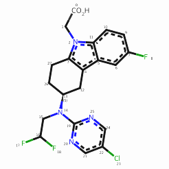 O=C(O)Cn1c2c(c3cc(F)ccc31)C[C@@H](N(CC(F)F)c1ncc(Cl)cn1)CC2